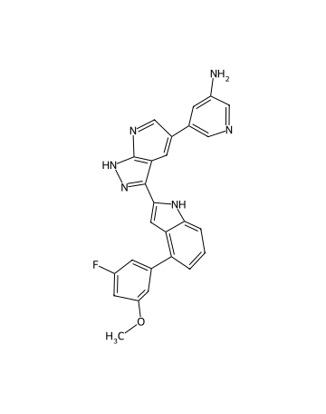 COc1cc(F)cc(-c2cccc3[nH]c(-c4n[nH]c5ncc(-c6cncc(N)c6)cc45)cc23)c1